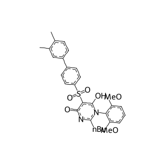 CCCCc1nc(=O)c(S(=O)(=O)c2ccc(-c3ccc(C)c(C)c3)cc2)c(O)n1-c1c(OC)cccc1OC